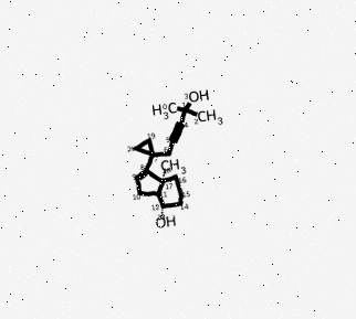 CC(C)(O)C#CCC1(C2=CCC3[C@@H](O)CCC[C@]23C)CC1